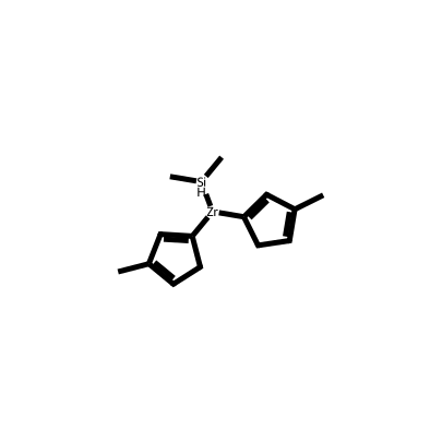 CC1=CC[C]([Zr]([C]2=CC(C)=CC2)[SiH](C)C)=C1